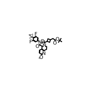 COc1ccc2c(n1)CCN(C(=O)C1CC(CC(=O)OC(C)(C)C)C1)C2C(=O)Nc1cc(F)c([Si](C)(C)C)c(F)c1